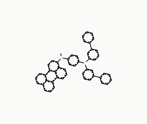 CN(c1ccc(N(c2cccc(-c3ccccc3)c2)c2cccc(-c3ccccc3)c2)cc1)c1ccc2c3cccc4cccc(c5cccc1c52)c43